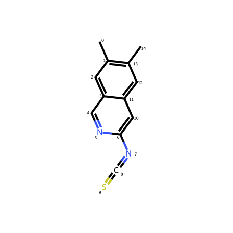 Cc1cc2cnc(N=C=S)cc2cc1C